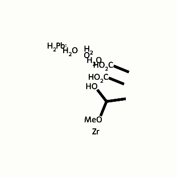 CC(=O)O.CC(=O)O.COC(C)O.O.O.O.[PbH2].[Zr]